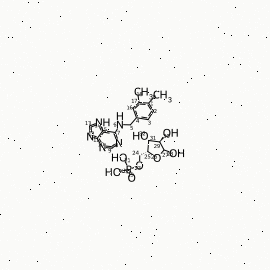 Cc1ccc(CNc2ncnc3nc[nH]c23)cc1C.O=P(O)(O)OC[C@H]1OC(O)[C@H](O)[C@@H]1O